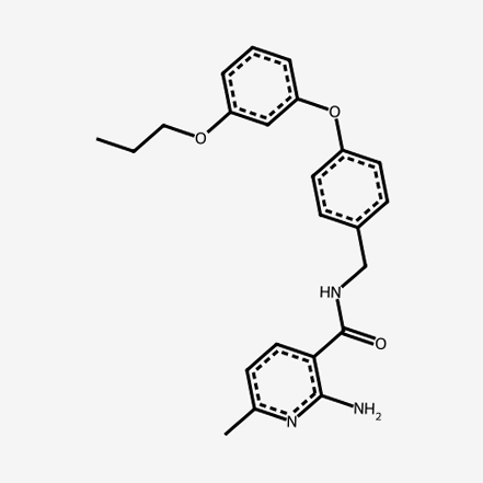 CCCOc1cccc(Oc2ccc(CNC(=O)c3ccc(C)nc3N)cc2)c1